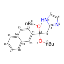 CCCCOC(Cc1ncc[nH]1)(OCCCC)c1ccc2ccccc2c1